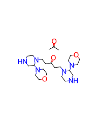 CC(C)=O.O=C(CCN1CCNCC1N1CCOCC1)CCN1CCNCC1N1CCOCC1